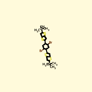 C[Si](C)(C)c1cc2sc(-c3cc(Br)c(-c4cc5sc([Si](C)(C)C)cc5s4)cc3Br)cc2s1